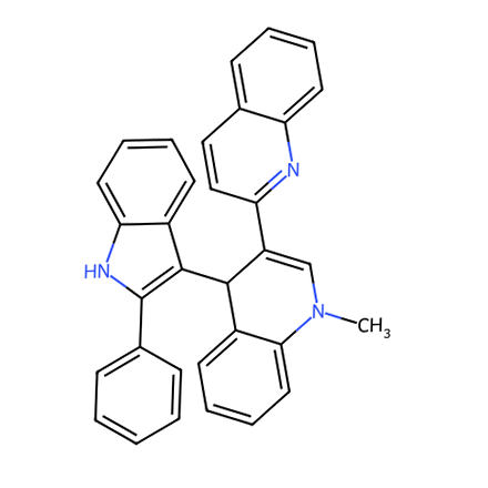 CN1C=C(c2ccc3ccccc3n2)C(c2c(-c3ccccc3)[nH]c3ccccc23)c2ccccc21